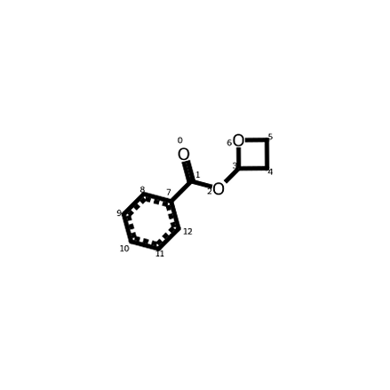 O=C(OC1CCO1)c1ccccc1